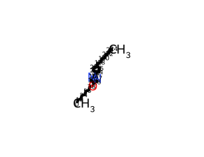 CCCCCCCCOc1cnc(-c2ccc(CCCCCCCC)cc2)nc1